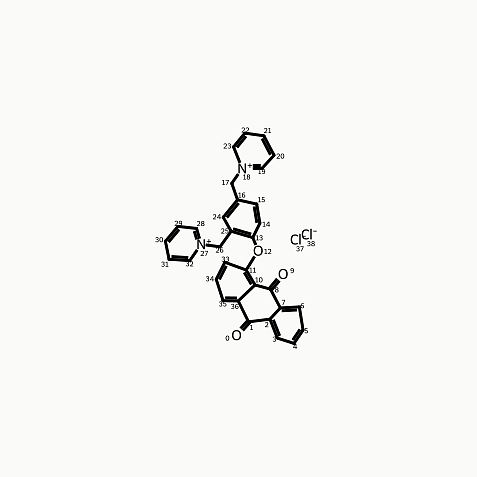 O=C1c2ccccc2C(=O)c2c(Oc3ccc(C[n+]4ccccc4)cc3C[n+]3ccccc3)cccc21.[Cl-].[Cl-]